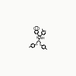 Cc1ccc(SCN(CSc2ccc(C)cc2)c2nc(-c3ccc4c(c3)OCCO4)c(-c3ccnc(C)c3)[nH]2)cc1